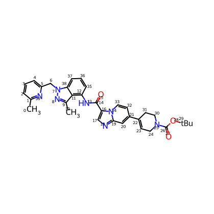 Cc1cccc(Cn2nc(C)c3c(NC(=O)c4cnc5cc(C6=CCN(C(=O)OC(C)(C)C)CC6)ccn45)cccc32)n1